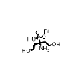 CCOP(=O)(O)C(N)(CCO)CCO